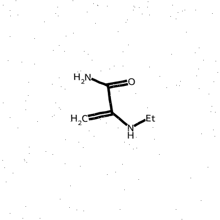 C=C(NCC)C(N)=O